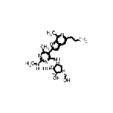 CCCc1cc2cc(-c3c(C)nc(NC)nc3N[C@@H]3C[C@H](CO)[C@@H](O)[C@H]3O)oc2c(C)n1